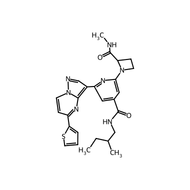 CCC(C)CNC(=O)c1cc(-c2cnn3ccc(-c4cccs4)nc23)nc(N2CCC2C(=O)NC)c1